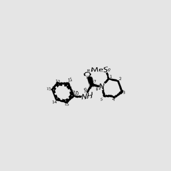 CSC1CCCCN1C(=O)Nc1ccccc1